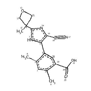 Cc1cc(C)c(-c2[nH]c(C3(C)COC3)nc2C#N)cc1C(=O)O